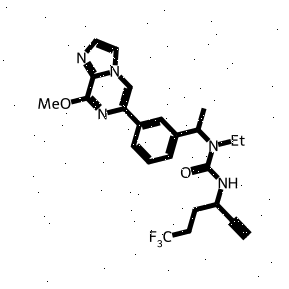 C#CC(CCC(F)(F)F)NC(=O)N(CC)C(C)c1cccc(-c2cn3ccnc3c(OC)n2)c1